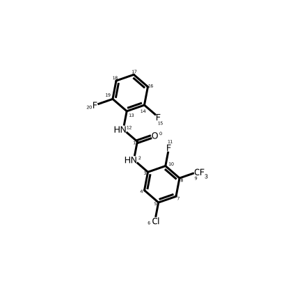 O=C(Nc1cc(Cl)cc(C(F)(F)F)c1F)Nc1c(F)cccc1F